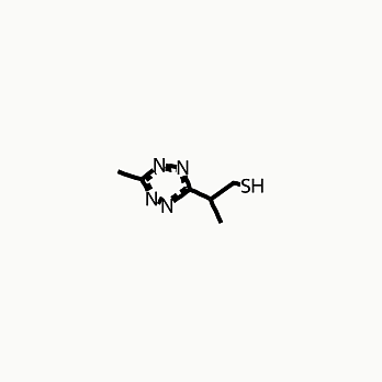 Cc1nnc(C(C)CS)nn1